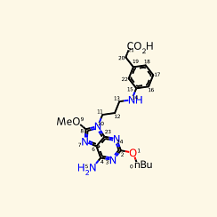 CCCCOc1nc(N)c2nc(OC)n(CCCNc3cccc(CC(=O)O)c3)c2n1